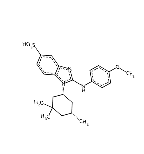 C[C@H]1C[C@@H](n2c(Nc3ccc(OC(F)(F)F)cc3)nc3cc(S(=O)(=O)O)ccc32)CC(C)(C)C1